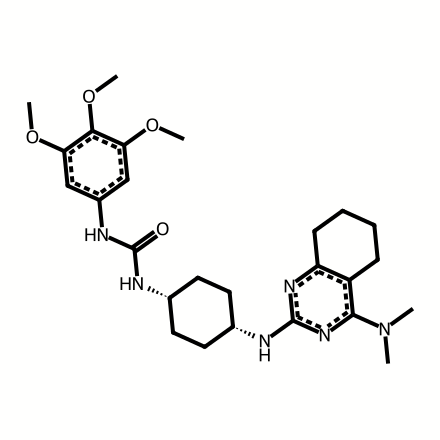 COc1cc(NC(=O)N[C@H]2CC[C@@H](Nc3nc4c(c(N(C)C)n3)CCCC4)CC2)cc(OC)c1OC